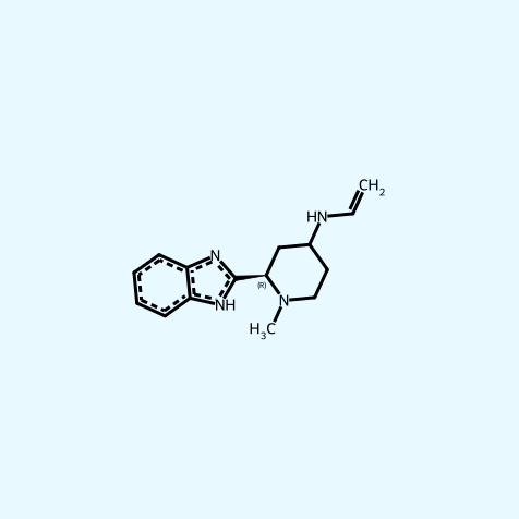 C=CNC1CCN(C)[C@@H](c2nc3ccccc3[nH]2)C1